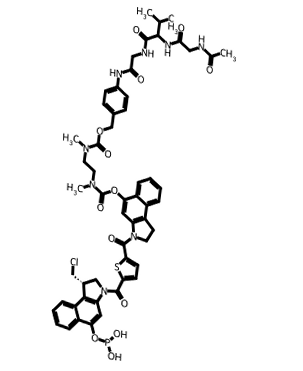 CC(=O)NCC(=O)NC(C(=O)NCC(=O)Nc1ccc(COC(=O)N(C)CCN(C)C(=O)Oc2cc3c(c4ccccc24)CCN3C(=O)c2ccc(C(=O)N3C[C@@H](CCl)c4c3cc(OP(O)O)c3ccccc43)s2)cc1)C(C)C